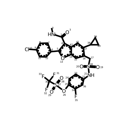 CNC(=O)c1c(-c2ccc(Cl)cc2)oc2cc(CS(=O)(=O)Nc3ccc(OS(=O)(=O)C(F)(F)F)c(F)c3)c(C3CC3)cc12